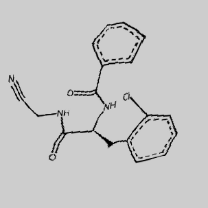 N#CCNC(=O)[C@H](Cc1ccccc1Cl)NC(=O)c1ccccc1